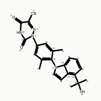 Cc1cc(-n2nc(C#N)c(=O)[nH]c2=O)cc(C)c1-n1ccc2c(C(C)(C)O)cccc21